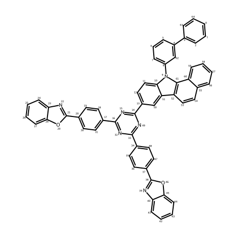 c1ccc(-c2cccc(-n3c4ccc(-c5nc(-c6ccc(-c7nc8ccccc8o7)cc6)nc(-c6ccc(-c7nc8ccccc8o7)cc6)n5)cc4c4ccc5ccccc5c43)c2)cc1